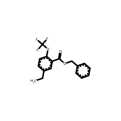 CCc1ccc(OC(F)(F)F)c(C(=O)OCc2ccccc2)c1